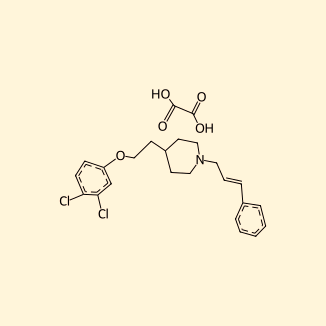 Clc1ccc(OCCC2CCN(CC=Cc3ccccc3)CC2)cc1Cl.O=C(O)C(=O)O